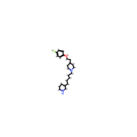 Fc1ccc(OCCC2CCN(CCCCCC3CCCNC3)CC2)cc1